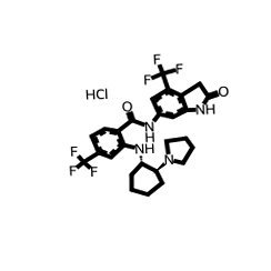 Cl.O=C1Cc2c(cc(NC(=O)c3ccc(C(F)(F)F)cc3N[C@H]3CCCC[C@@H]3N3CCCC3)cc2C(F)(F)F)N1